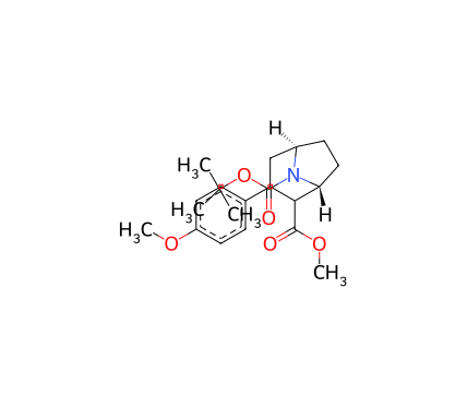 COC(=O)C1C(c2ccc(OC)cc2)C[C@H]2CC[C@H]1N2C(=O)OC(C)(C)C